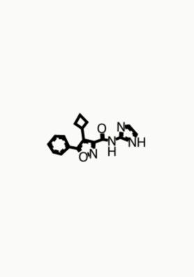 O=C(Nc1ncc[nH]1)c1noc(-c2ccccc2)c1C1CCC1